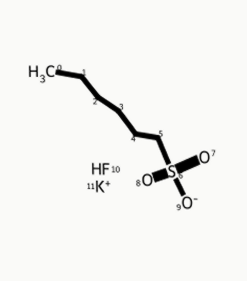 CCCCCCS(=O)(=O)[O-].F.[K+]